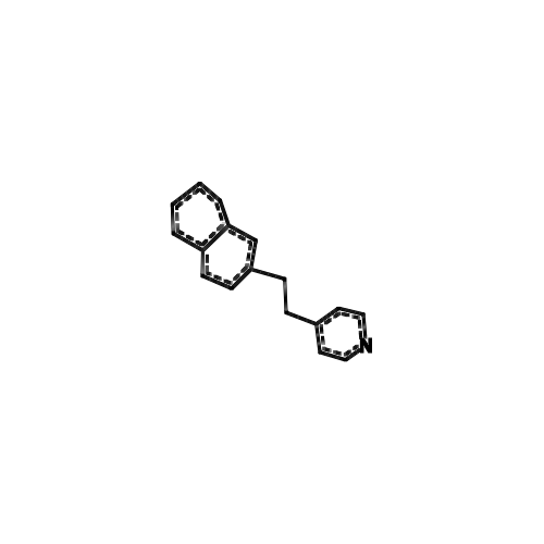 c1ccc2cc(CCc3ccncc3)ccc2c1